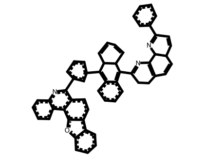 C1=CC2C(C3=NC4=C(C=CC5C=CC(c6ccccc6)=NC45)CC3)=c3ccccc3=C(c3cccc(-c4nc5ccccc5c5c4ccc4c6ccccc6oc45)c3)C2C=C1